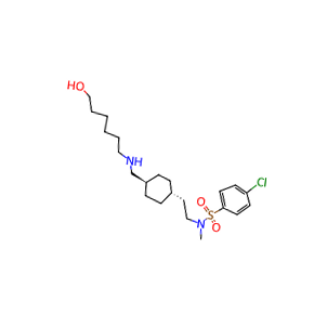 CN(CC[C@H]1CC[C@H](CNCCCCCCO)CC1)S(=O)(=O)c1ccc(Cl)cc1